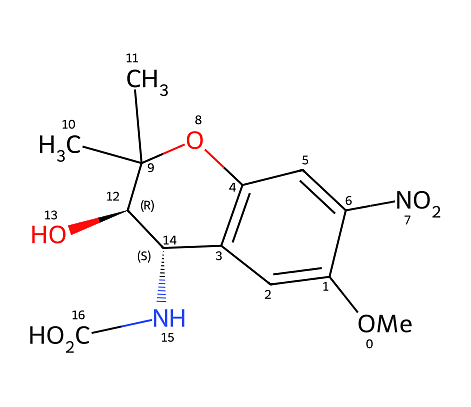 COc1cc2c(cc1[N+](=O)[O-])OC(C)(C)[C@H](O)[C@H]2NC(=O)O